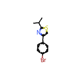 CC(C)c1nc(-c2ccc(Br)cc2)cs1